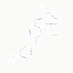 CCN1N=C(OC)C2(CCCCC2)n2c1cc1cnc(Nc3ccc(S(N)(=O)=O)c(F)c3)nc12